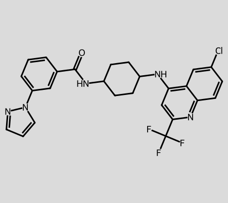 O=C(NC1CCC(Nc2cc(C(F)(F)F)nc3ccc(Cl)cc23)CC1)c1cccc(-n2cccn2)c1